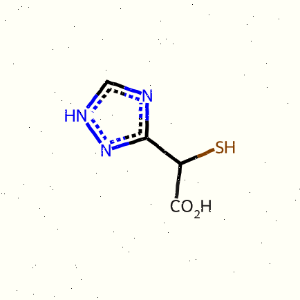 O=C(O)C(S)c1nc[nH]n1